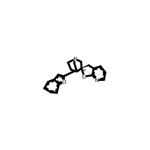 c1cnc2c(c1)C[C@@]1(CN3CCC1C(c1cc4ccccc4o1)C3)O2